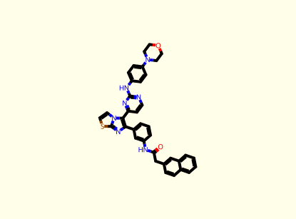 O=C(Cc1ccc2ccccc2c1)Nc1cccc(-c2nc3sccn3c2-c2ccnc(Nc3ccc(N4CCOCC4)cc3)n2)c1